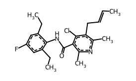 CC=CCc1c(C)nc(C)c(C(=O)Nc2c(CC)cc(F)cc2CC)c1Cl